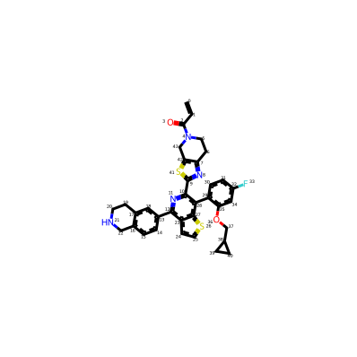 C=CC(=O)N1CCc2nc(-c3nc(-c4ccc5c(c4)CCNC5)c4ccsc4c3-c3ccc(F)cc3OCC3CC3)sc2C1